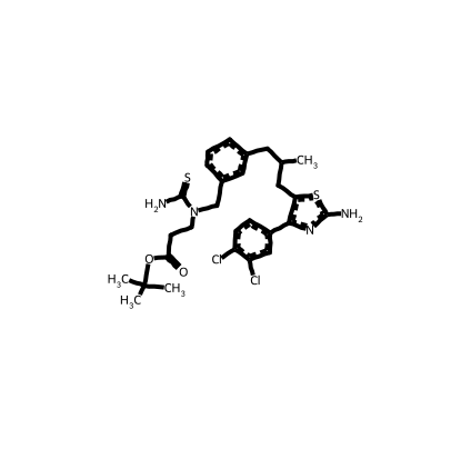 CC(Cc1cccc(CN(CCC(=O)OC(C)(C)C)C(N)=S)c1)Cc1sc(N)nc1-c1ccc(Cl)c(Cl)c1